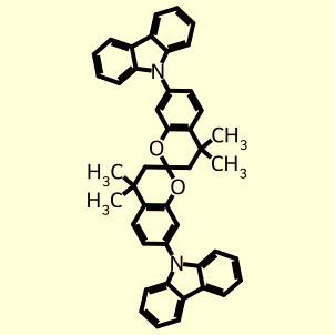 CC1(C)CC2(CC(C)(C)c3ccc(-n4c5ccccc5c5ccccc54)cc3O2)Oc2cc(-n3c4ccccc4c4ccccc43)ccc21